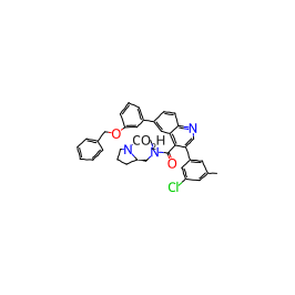 Cc1cc(Cl)cc(-c2cnc3ccc(-c4cccc(OCc5ccccc5)c4)cc3c2C(=O)N(C)C[C@H]2CCCN2C(=O)O)c1